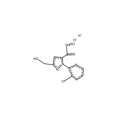 Cl.O=C(O)c1cc(CO)nn1-c1ncccc1Cl.[Cl-].[H+]